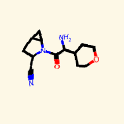 N#CC1CC2CC2N1C(=O)C(N)C1CCOCC1